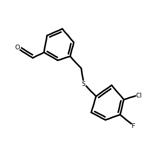 O=Cc1cccc(CSc2ccc(F)c(Cl)c2)c1